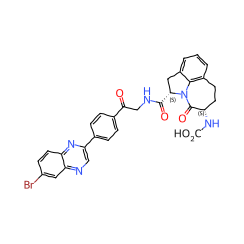 O=C(O)N[C@H]1CCc2cccc3c2N(C1=O)[C@H](C(=O)NCC(=O)c1ccc(-c2cnc4cc(Br)ccc4n2)cc1)C3